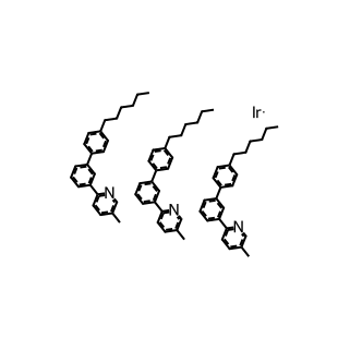 CCCCCCc1ccc(-c2cccc(-c3ccc(C)cn3)c2)cc1.CCCCCCc1ccc(-c2cccc(-c3ccc(C)cn3)c2)cc1.CCCCCCc1ccc(-c2cccc(-c3ccc(C)cn3)c2)cc1.[Ir]